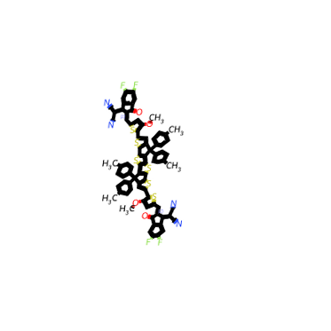 COc1cc(/C=C2\C(=O)c3cc(F)c(F)cc3C2=C(C#N)C#N)sc1-c1cc2c(s1)-c1sc3c4c(sc3c1C2(c1ccc(C)cc1)c1ccc(C)cc1)-c1sc(-c2sc(/C=C3\C(=O)c5cc(F)c(F)cc5C3=C(C#N)C#N)cc2OC)cc1C4(c1ccc(C)cc1)c1ccc(C)cc1